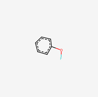 FOc1ccccc1